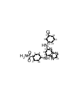 NS(=O)(=O)c1ccc(Nc2cc(Nc3cccc(Cl)c3)nc3ncnn23)cc1